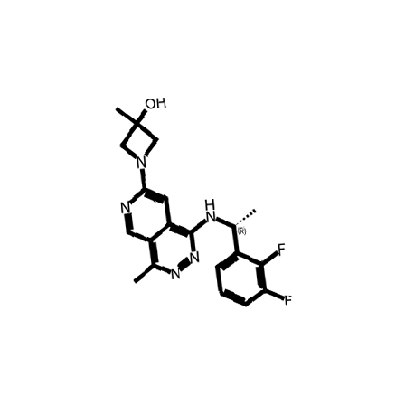 Cc1nnc(N[C@H](C)c2cccc(F)c2F)c2cc(N3CC(C)(O)C3)ncc12